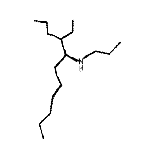 CCCCCCC(NCCC)C(CC)CCC